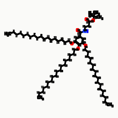 CCCCCCCCCCCCCCCCCCOc1cc(C(=O)NCCC(=O)OC(C)(C)C)cc(OCCCCCCCCCCCCCCCCCC)c1OCCCCCCCCCCCCCCCCCC